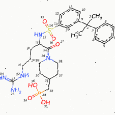 CC(C)(c1ccccc1)c1cccc(S(=O)(=O)NC(CCCNC(=N)N)C(=O)N2CCC(CP(=O)(O)O)CC2)c1